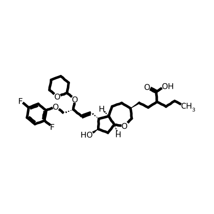 CCCC(CC[C@@H]1CC[C@@H]2[C@@H](/C=C/[C@H](COc3cc(F)ccc3F)OC3CCCCO3)[C@H](O)C[C@@H]2OC1)C(=O)O